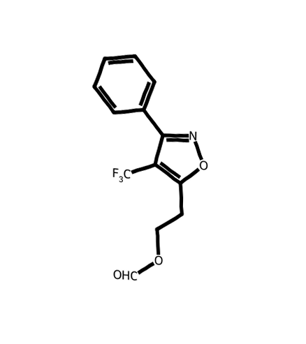 O=COCCc1onc(-c2ccccc2)c1C(F)(F)F